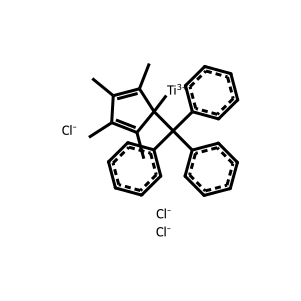 CC1=C(C)[C]([Ti+3])(C(c2ccccc2)(c2ccccc2)c2ccccc2)C(C)=C1C.[Cl-].[Cl-].[Cl-]